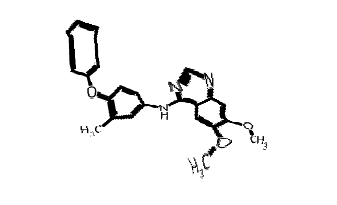 COc1cc2ncnc(Nc3ccc(Oc4ccccc4)c(C)c3)c2cc1OC